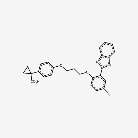 O=C(O)C1(c2ccc(OCCCOc3ccc(Cl)cc3-n3nc4ccccc4n3)cc2)CC1